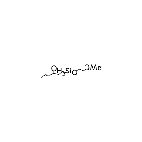 CC=CC(=O)CCC[SiH2]OCCOC